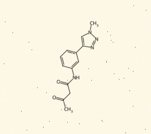 CC(=O)CC(=O)Nc1cccc(-c2cn(C)nn2)c1